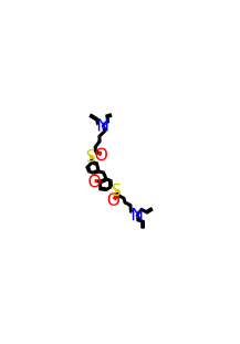 C=CCN(CC=C)CCCCC(=O)Sc1ccc2c(c1)Cc1cc(SC(=O)CCCCN(CC=C)CC=C)ccc1O2